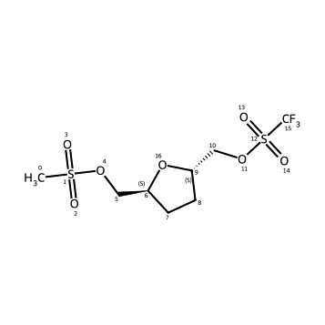 CS(=O)(=O)OC[C@@H]1CC[C@@H](COS(=O)(=O)C(F)(F)F)O1